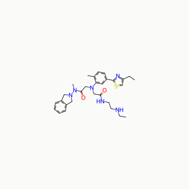 CCNCCNC(=O)CN(CC(=O)N(C)N1Cc2ccccc2C1)c1cc(-c2nc(CC)cs2)ccc1C